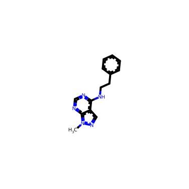 Cn1ncc2c(NCCc3ccccc3)ncnc21